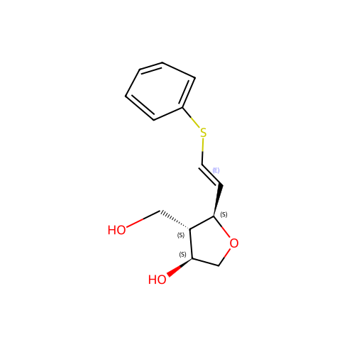 OC[C@H]1[C@H](O)CO[C@@H]1/C=C/Sc1ccccc1